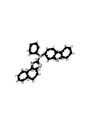 c1ccc(N(c2ccc3c(c2)sc2ccccc23)c2nc3c(ccc4ccccc43)o2)cc1